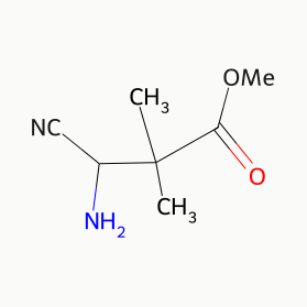 COC(=O)C(C)(C)C(N)C#N